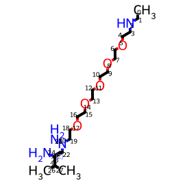 CCNCCOCCOCCOCCOCCOCCN(N)/C=C(\N)C(C)C